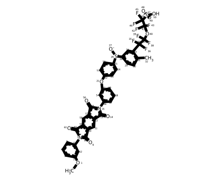 COc1cccc(-n2c(=O)c3cc4c(=O)n(-c5cccc(Oc6ccc([S+]([O-])c7ccc(C)c(C(F)(F)C(F)(F)OC(F)(F)C(F)(F)S(=O)(=O)O)c7)cc6)c5)c(=O)c4cc3c2=O)c1